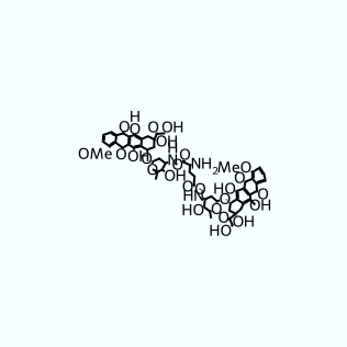 COc1cccc2c1C(=O)c1c(O)c3c(c(O)c1C2=O)C[C@@](O)(C(=O)CO)C[C@@H]3OC1CC(NOC(=O)CC[C@H](N)C(=O)ONC2CC(O[C@H]3C[C@](O)(C(=O)CO)Cc4c(O)c5c(c(O)c43)C(=O)c3c(OC)cccc3C5=O)OC(C)C2O)C(O)C(C)O1